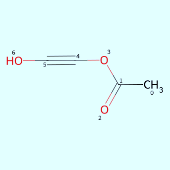 CC(=O)OC#CO